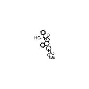 CC(C)(C)OC(=O)N1CCC2(CC1)CC1CC(=O)N([C@H](CO)c3ccccc3)C1c1ccccc12